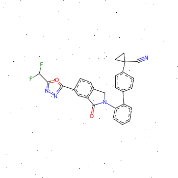 N#CC1(c2ccc(-c3ccccc3N3Cc4ccc(-c5nnc(C(F)F)o5)cc4C3=O)cc2)CC1